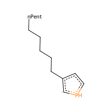 CCCCCCCCCCc1[c][pH]cc1